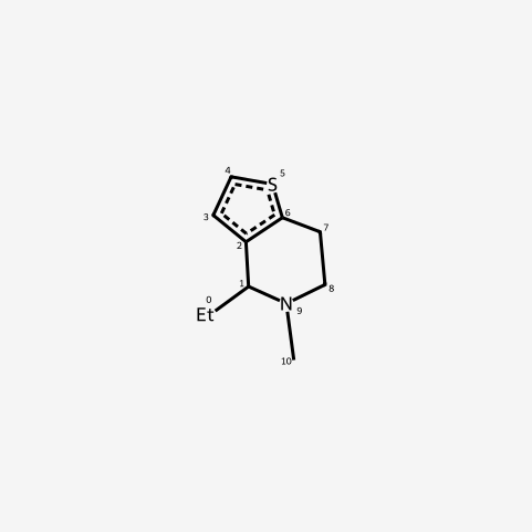 CCC1c2ccsc2CCN1C